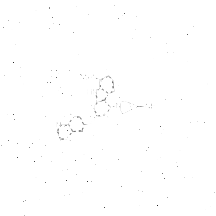 CNc1cccc2c1[nH]c1nc(Sc3cnc4nccnc4c3)nc(N3CC4C(N)C4C3)c12